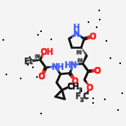 CC[C@@H](O)C(=O)NC(CC1(C)CC1)C(=O)N[C@@H](C[C@@H]1CCNC1=O)C(=O)COC(F)(F)F